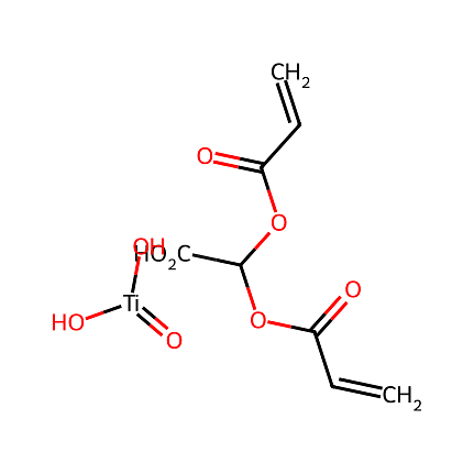 C=CC(=O)OC(OC(=O)C=C)C(=O)O.[O]=[Ti]([OH])[OH]